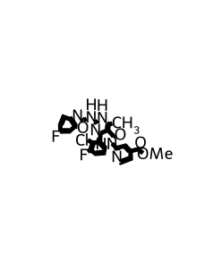 COC(=O)c1ccnc(NC(=O)C2=C(C)NC(Nc3nc4ccc(F)cc4o3)=NC2c2cccc(F)c2Cl)c1